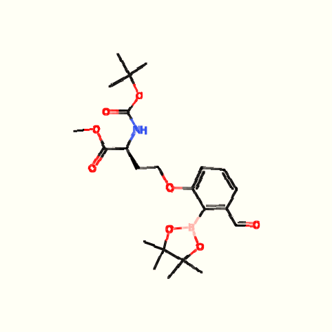 COC(=O)[C@H](CCOc1cccc(C=O)c1B1OC(C)(C)C(C)(C)O1)NC(=O)OC(C)(C)C